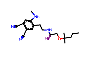 CCCC(C)(C)OCC(=P)NCCc1cc(C#N)c(C#N)cc1NC